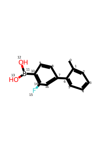 Cc1ccccc1-c1ccc(B(O)O)c(F)c1